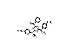 COc1ccc(N(C)c2nc(N(C)c3ccc(C)cc3)nc(N(Br)c3ccccc3)n2)cc1